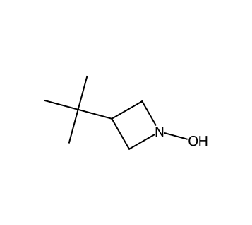 CC(C)(C)C1CN(O)C1